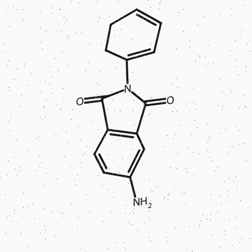 Nc1ccc2c(c1)C(=O)N(C1=CC=CCC1)C2=O